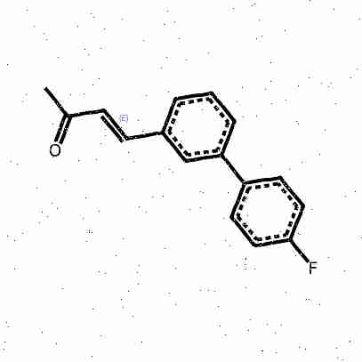 CC(=O)/C=C/c1cccc(-c2ccc(F)cc2)c1